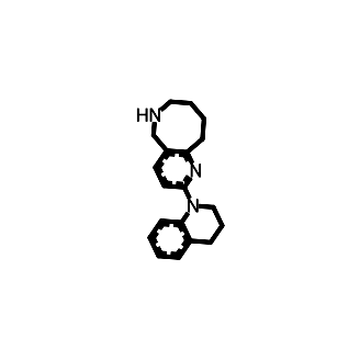 c1ccc2c(c1)CCCN2c1ccc2c(n1)CCCCNC2